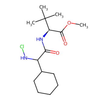 COC(=O)[C@@H](NC(=O)C(NCl)C1CCCCC1)C(C)(C)C